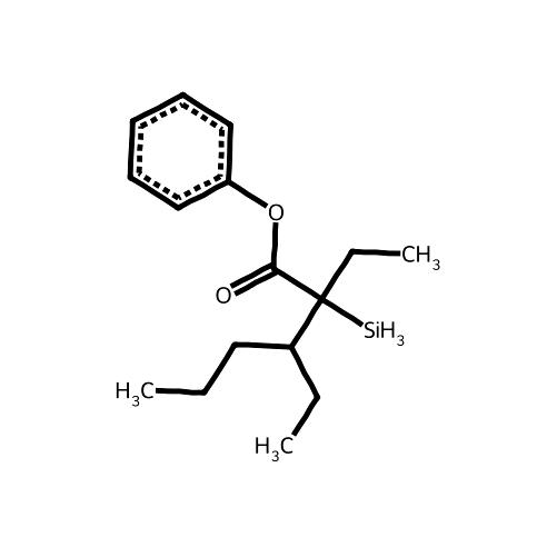 CCCC(CC)C([SiH3])(CC)C(=O)Oc1ccccc1